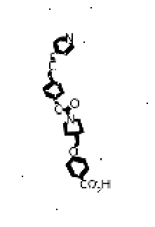 O=C(O)c1ccc(OCC2CCN(C(=O)Oc3ccc(CCSc4ccncc4)cc3)CC2)cc1